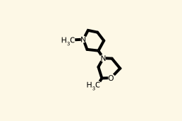 CC1CN(C2CCCN(C)C2)CCO1